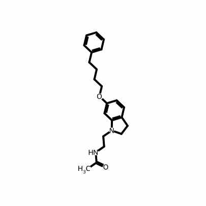 CC(=O)NCCN1CCc2ccc(OCCCCc3ccccc3)cc21